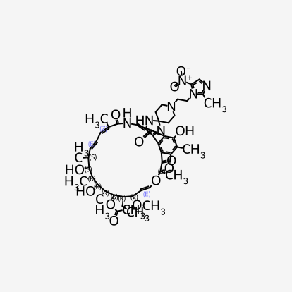 CC[C@H]1[C@@H](OC(C)=O)[C@H](C)[C@H](O)[C@H](C)[C@@H](O)[C@@H](C)/C=C/C=C(/C)C(=O)NC2=C3NC4(CCN(CCn5c([N+](=O)[O-])cnc5C)CC4)N=C3c3c(c(O)c(C)c4c3C(=O)[C@@](C)(O/C=C/[C@@H]1OC)O4)C2=O